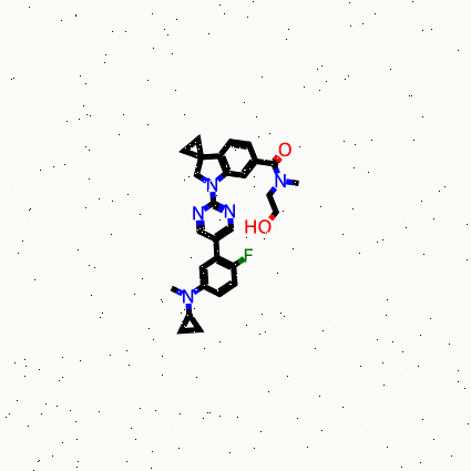 CN(CCO)C(=O)c1ccc2c(c1)N(c1ncc(-c3cc(N(C)C4CC4)ccc3F)cn1)CC21CC1